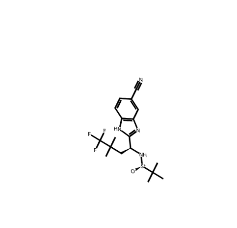 CC(C)(C)[S@@+]([O-])N[C@@H](CC(C)(C)C(F)(F)F)c1nc2cc(C#N)ccc2[nH]1